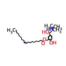 CCCCCCCC/C=C\CCCCCCCC(=O)OCc1cc(C(O)CNC(C)(C)C)ccc1O